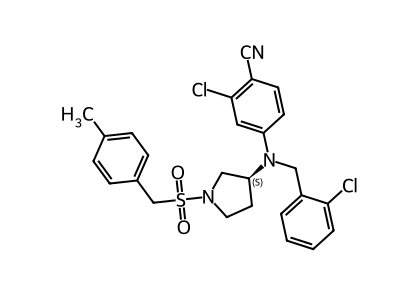 Cc1ccc(CS(=O)(=O)N2CC[C@H](N(Cc3ccccc3Cl)c3ccc(C#N)c(Cl)c3)C2)cc1